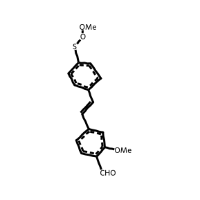 COOSc1ccc(/C=C/c2ccc(C=O)c(OC)c2)cc1